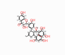 CC1=CC(c2ccc(O)c(C3Oc4cc(O)ccc4C(=O)C3O)c2)C(C(=O)c2ccc(O)cc2O)C(c2ccc(O)cc2O)C1